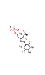 [2H]c1c([2H])c([2H])c(-c2nc(CCOS(C)(=O)=O)c(C([2H])([2H])[2H])o2)c([2H])c1[2H]